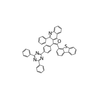 c1ccc(-c2nc(-c3ccccc3)nc(-c3ccc(-c4c(-c5cccc6c5sc5ccccc56)oc5c4c(-c4ccccc4)nc4ccccc45)cc3)n2)cc1